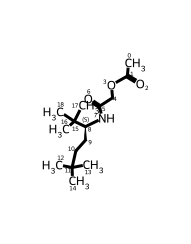 CC(=O)OCC(=O)N[C@@H](CCC(C)(C)C)C(C)(C)C